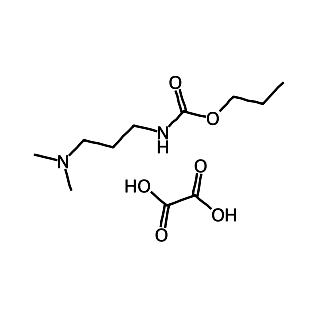 CCCOC(=O)NCCCN(C)C.O=C(O)C(=O)O